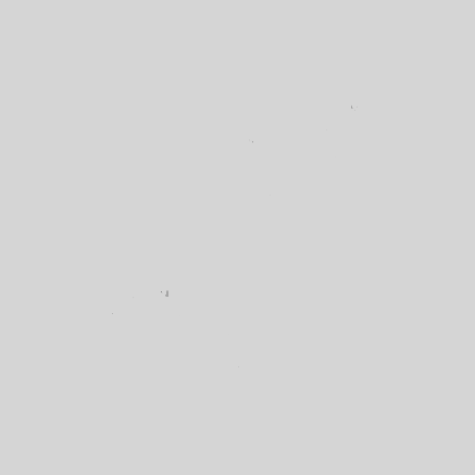 COc1ccc2c(Oc3ccc4c(c3)OC(C)C4C(=O)NC3CC3)ccnc2c1